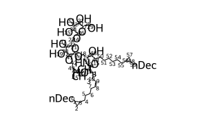 CCCCCCCCCCC1CC1CCCC/C=C\CC[C@@H](O)C(=O)N[C@@H](CO[C@@H]1O[C@H](CO[C@@H]2O[C@H](CO)[C@H](O)[C@H](O)[C@H]2O)[C@H](O)[C@H](O)[C@H]1OCC=C(C)C)[C@H](O)CCCCCCCC1CC1CCCCCCCCCC